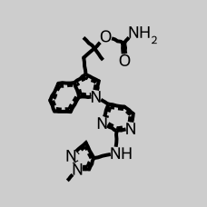 Cn1cc(Nc2nccc(-n3cc(CC(C)(C)OC(N)=O)c4ccccc43)n2)cn1